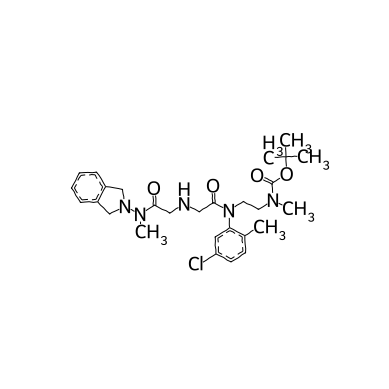 Cc1ccc(Cl)cc1N(CCN(C)C(=O)OC(C)(C)C)C(=O)CNCC(=O)N(C)N1Cc2ccccc2C1